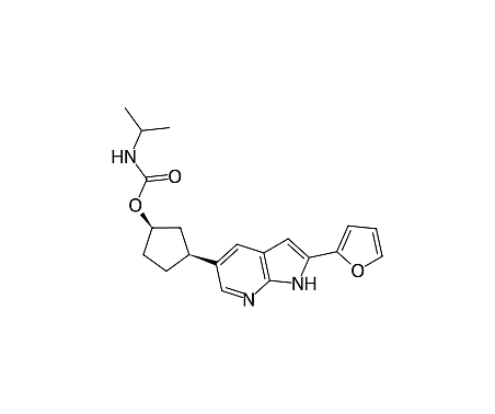 CC(C)NC(=O)O[C@@H]1CC[C@H](c2cnc3[nH]c(-c4ccco4)cc3c2)C1